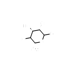 CCC1O[C@H](OC)C(O)[C@@H](O)[C@@H]1O